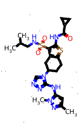 Cc1cc(Nc2nncn2C2CCc3sc(NC(=O)C4CC4)c(S(=O)(=O)NCC(C)C)c3C2)n(C)n1